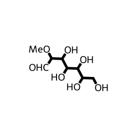 COC(C=O)C(O)C(O)C(O)C(O)CO